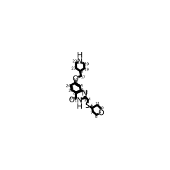 O=c1[nH]c(CSC2CCOCC2)nc2cc(OCC3CCNCC3)ccc12